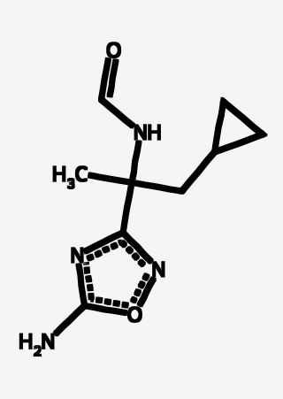 CC(CC1CC1)(NC=O)c1noc(N)n1